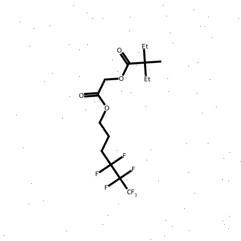 CCC(C)(CC)C(=O)OCC(=O)OCCCC(F)(F)C(F)(F)C(F)(F)F